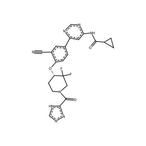 N#Cc1cc(-c2cc(NC(=O)C3CC3)ncn2)ccc1O[C@H]1CCN(C(=O)c2nnc[nH]2)CC1(F)F